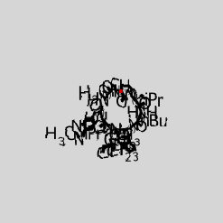 C=CC(C)(C)n1cc(C[C@@H]2NC(=O)[C@H](CCCC)NC(=O)[C@H](CC(C)C)N3CCC[C@@H](C3=O)N(C)C(=O)[C@H](C)NC(=O)[C@H](Cc3ccc4cnc(C)nc4c3)NC(=O)[C@H](CC(C)C)N(C)C2=O)c2ccccc21